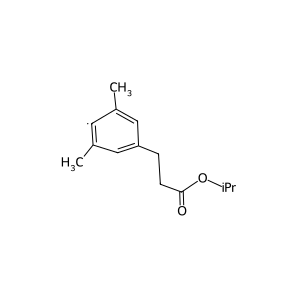 Cc1[c]c(C)cc(CCC(=O)OC(C)C)c1